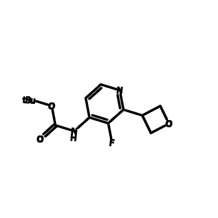 CC(C)(C)OC(=O)Nc1ccnc(C2COC2)c1F